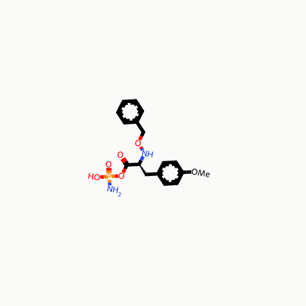 COc1ccc(C[C@H](NOCc2ccccc2)C(=O)OP(N)(=O)O)cc1